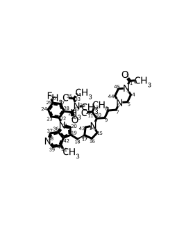 CC(=O)N1CCN(CCCC(C(C)C)N2CC[C@@H](Cc3cn(-c4ccc(F)cc4C(=O)N(C)C(C)C)c4cncc(C)c34)C2)CC1